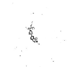 CCCCC(=O)Nc1cnc(-c2ccc3ccn(CCC)c(=O)c3c2)nc1